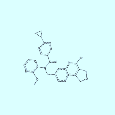 COc1ncccc1N(Cc1ccc2c3c(c(Br)nc2c1)COC3)C(=O)c1cnc(C2CC2)nc1